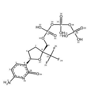 Nc1ccn([C@H]2CC[C@](COP(=O)(O)OP(=O)(O)OP(=O)(O)O)(C(F)(F)F)O2)c(=O)n1